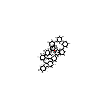 c1ccc(-c2cccc(C(c3ccccc3)c3cccc4c3-c3c(N(c5ccccc5)c5cccc(-c6ccccc6)c5)cccc3C43c4ccccc4-n4c5ccccc5c5cccc3c54)c2)cc1